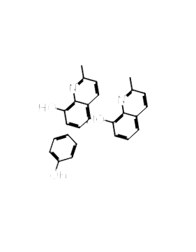 Cc1ccc2cccc(O)c2n1.Cc1ccc2cccc(O)c2n1.Oc1ccccc1